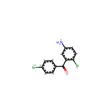 Nc1ccc(Br)c(C(=O)c2ccc(Br)cc2)c1